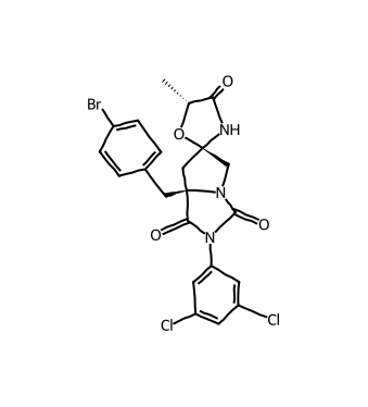 C[C@H]1O[C@]2(CN3C(=O)N(c4cc(Cl)cc(Cl)c4)C(=O)[C@]3(Cc3ccc(Br)cc3)C2)NC1=O